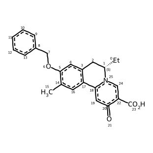 CC[C@H]1Cc2cc(OCc3ccccc3)c(C)cc2-c2cc(=O)c(C(=O)O)cn21